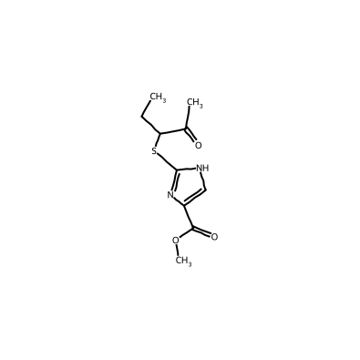 CCC(Sc1nc(C(=O)OC)c[nH]1)C(C)=O